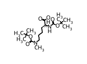 CN(CCCC[C@H](NC(=O)OC(C)(C)C)C(=O)O)C(=O)OC(C)(C)C